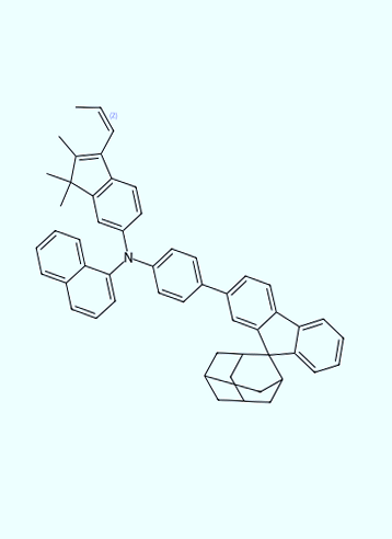 C/C=C\C1=C(C)C(C)(C)c2cc(N(c3ccc(-c4ccc5c(c4)C4(c6ccccc6-5)C5CC6CC(C5)CC4C6)cc3)c3cccc4ccccc34)ccc21